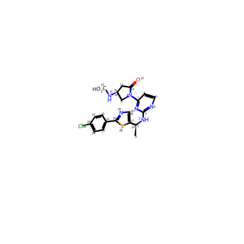 C[C@H](Nc1nccc(N2C[C@@H](NC(=O)O)CC2=O)n1)c1cnc(-c2ccc(Cl)cc2)s1